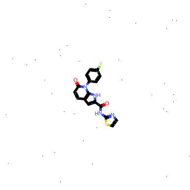 O=C(Nc1nccs1)c1cc2ccc(=O)n(-c3ccc(F)cc3)c2[nH]1